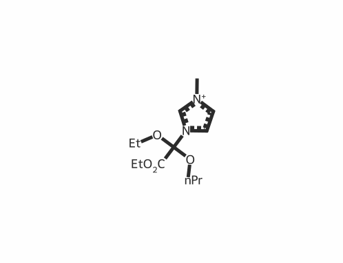 CCCOC(OCC)(C(=O)OCC)n1cc[n+](C)c1